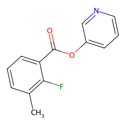 Cc1cccc(C(=O)Oc2cccnc2)c1F